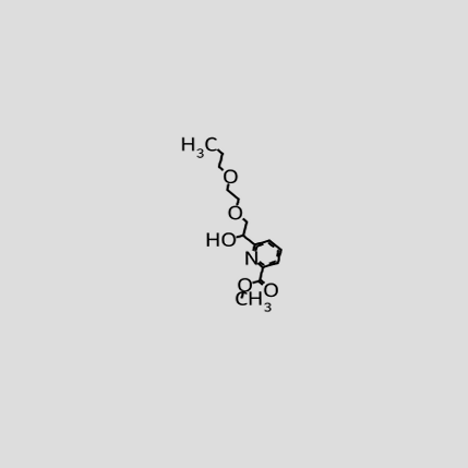 CCCOCCOCC(O)c1cccc(C(=O)OC)n1